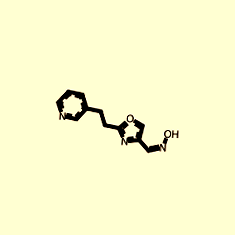 O/N=C\c1coc(CCc2cccnc2)n1